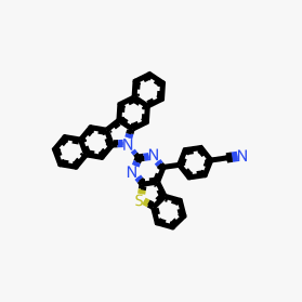 N#Cc1ccc(-c2nc(-n3c4cc5ccccc5cc4c4cc5ccccc5cc43)nc3sc4ccccc4c23)cc1